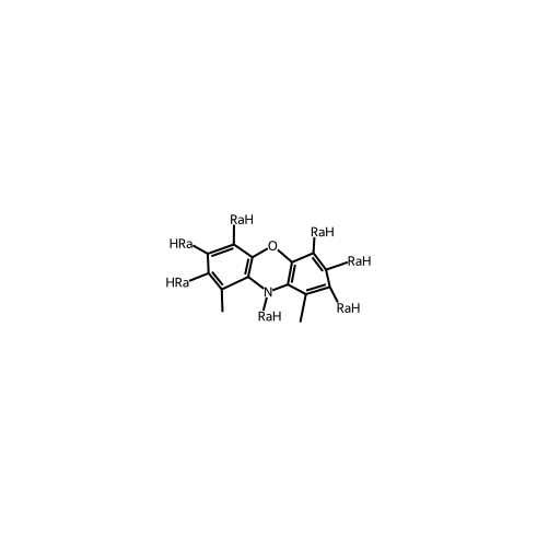 Cc1[c]([RaH])[c]([RaH])[c]([RaH])c2c1[N]([RaH])c1c(C)[c]([RaH])[c]([RaH])[c]([RaH])c1O2